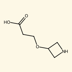 O=C(O)CCOC1CNC1